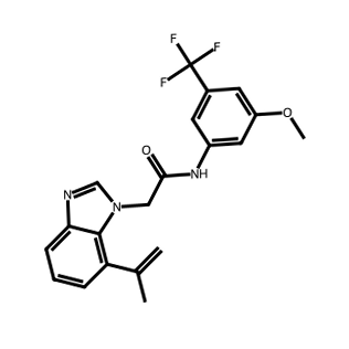 C=C(C)c1cccc2ncn(CC(=O)Nc3cc(OC)cc(C(F)(F)F)c3)c12